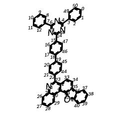 c1ccc(-c2nc(-c3ccccc3)nc(-c3ccc(-c4ccc(-c5nc6ccccc6c6c5ccc5c7ccccc7oc56)cc4)cc3)n2)cc1